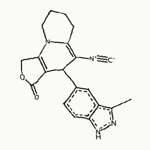 [C-]#[N+]C1=C2CCCCN2C2=C(C(=O)OC2)C1c1ccc2[nH]nc(C)c2c1